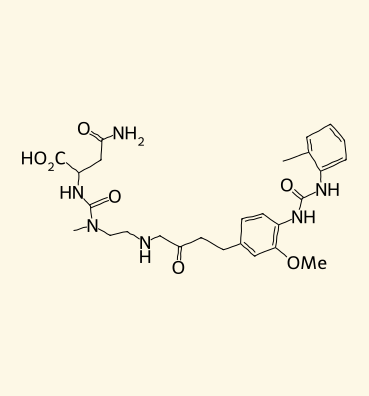 COc1cc(CCC(=O)CNCCN(C)C(=O)NC(CC(N)=O)C(=O)O)ccc1NC(=O)Nc1ccccc1C